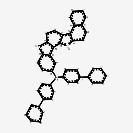 c1ccc(-c2ccc(N(c3ccc(-c4ccccc4)cc3)c3ccc4sc5ccc6c(oc7ccc8ccccc8c76)c5c4c3)cc2)cc1